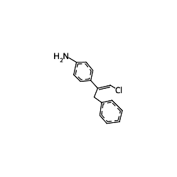 Nc1ccc(C(=CCl)Cc2ccccc2)cc1